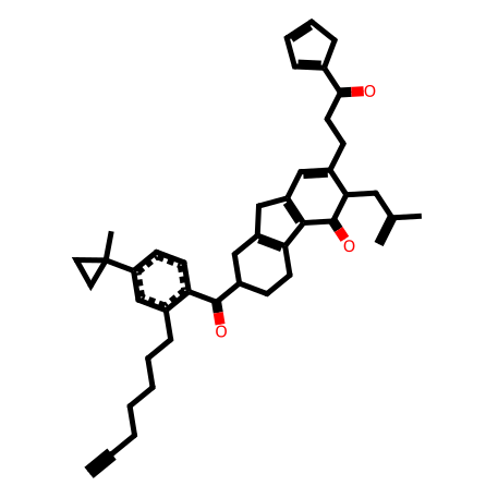 C#CCCCCCc1cc(C2(C)CC2)ccc1C(=O)C1CCC2=C(CC3=C2C(=O)C(CC(=C)C)C(CCC(=O)C2=CC=CC2)=C3)C1